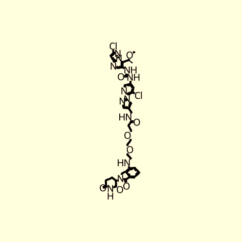 CO[C@@H](C)c1c(NC(=O)Nc2cnc(-n3cc(CNC(=O)CCOCCOCCNc4cccc5c4CN(C4CCC(=O)NC4=O)C5=O)cn3)c(Cl)c2)cnc2cc(Cl)nn12